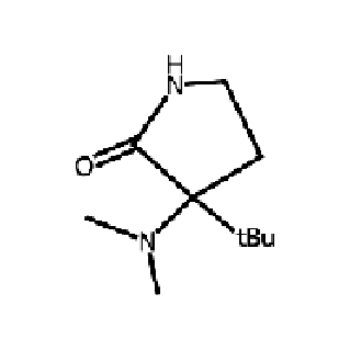 CN(C)C1(C(C)(C)C)CCNC1=O